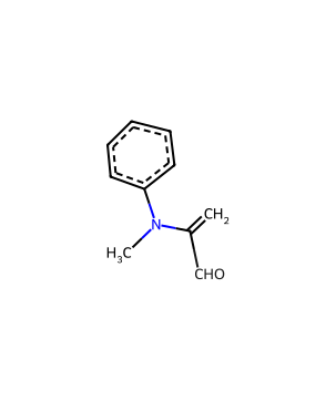 C=C(C=O)N(C)c1ccccc1